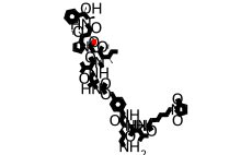 CC[C@H](C)[C@@H]([C@@H](CC(=O)N1CCC[C@H]1[C@H](OC)[C@@H](C)C(=O)N[C@H](C)[C@@H](O)c1ccccc1)OC)N(C)C(=O)[C@@H](NC(=O)C(C)(C)NC(=O)OCc1ccc(NC(=O)[C@H](CCCN)NC(=O)[C@@H](NC(=O)CCCCCN2C(=O)C=CC2=O)C(C)C)cc1)C(C)C